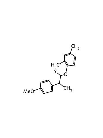 COc1ccc(C(C)[CH]([Y])Oc2ccc(C)cc2C)cc1